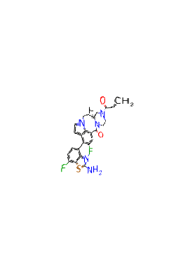 C=CC(=O)N1CCN2C(=O)c3cc(F)c(-c4ccc(F)c5sc(N)nc45)c4ccn(c34)CC[C@H]2C1